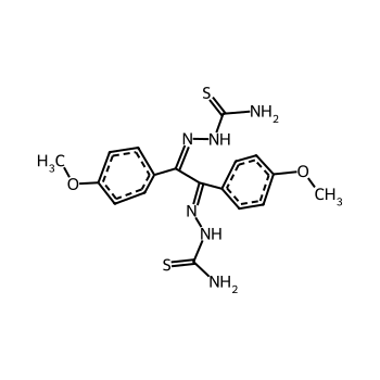 COc1ccc(C(=NNC(N)=S)C(=NNC(N)=S)c2ccc(OC)cc2)cc1